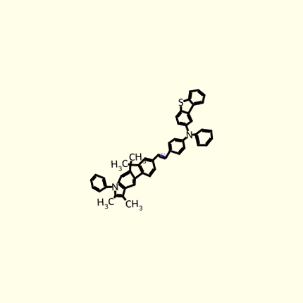 Cc1c(C)n(-c2ccccc2)c2cc3c(cc12)-c1ccc(/C=C/c2ccc(N(c4ccccc4)c4ccc5sc6ccccc6c5c4)cc2)cc1C3(C)C